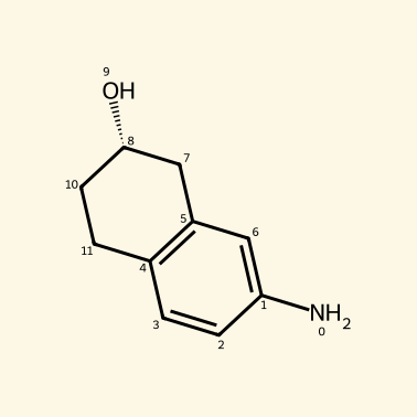 Nc1ccc2c(c1)C[C@@H](O)CC2